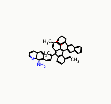 C=C(/C=C\C1=C(N)C2N=CC=CC2C=C1)c1c2c(c(-c3cc4ccccc4cc3C3=CC=CCC3)c3ccc(C)cc13)/C(=C/C)CC=C2